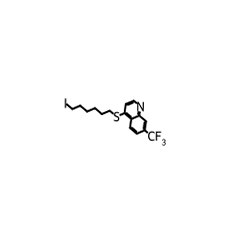 FC(F)(F)c1ccc2c(SCCCCCCI)ccnc2c1